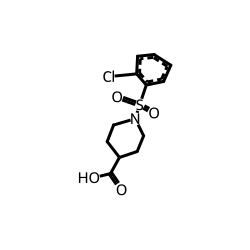 O=C(O)C1CCN(S(=O)(=O)c2ccccc2Cl)CC1